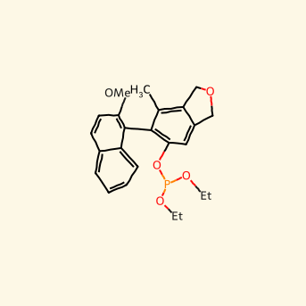 CCOP(OCC)Oc1cc2c(c(C)c1-c1c(OC)ccc3ccccc13)COC2